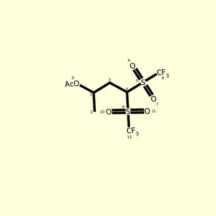 CC(=O)OC(C)CC(S(=O)(=O)C(F)(F)F)S(=O)(=O)C(F)(F)F